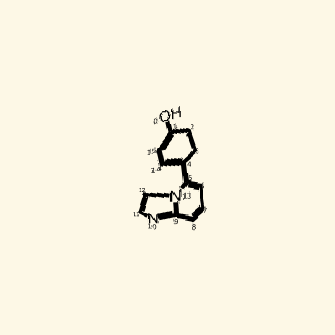 Oc1ccc(-c2cccc3nccn23)cc1